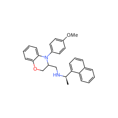 COc1ccc(N2c3ccccc3OCC2CN[C@H](C)c2cccc3ccccc23)cc1